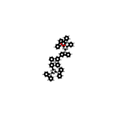 c1ccc([Si](c2ccccc2)(c2ccc(-c3ccc4c(c3)c3ccccc3n4-c3nc(-c4ccccc4-n4c5ccccc5c5ccccc54)nc(-n4c5ccccc5c5ccccc54)n3)cc2)c2cccc(-c3nc(-n4c5ccccc5c5ccccc54)nc(-n4c5ccccc5c5ccccc54)n3)c2)cc1